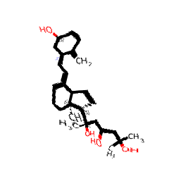 C=C1CC[C@H](O)C/C1=C/C=C1CCC[C@@]2(C)C1CC[C@@H]2[C@@](C)(O)CC(O)CC(C)(C)O